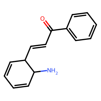 NC1C=CC=CC1C=CC(=O)c1ccccc1